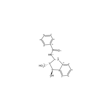 O=C(NC[C@@H](C(=O)O)[C@H](O)c1ccccc1F)c1ccccc1